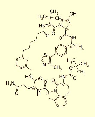 Cc1ncsc1-c1ccc([C@H](C)NC(=O)[C@@H]2C[C@@H](O)CN2C(=O)[C@@H](NC(=O)CCCCCc2cccc(CNC(=O)[C@H](CCC(N)=O)NC(=O)[C@@H]3Cc4cccc5c4N3C(=O)[C@@H](NC(=O)OC(C)(C)C)CC5)c2)C(C)(C)C)cc1